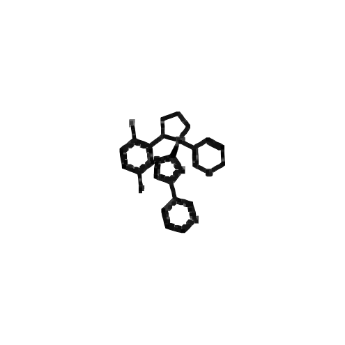 Fc1ccc(F)c(C2CCC[N@@+]2(C2=COCC=C2)c2nc(-c3cccnc3)cs2)c1